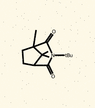 CC(C)(C)N1C(=O)C2CCC(C)(C1=O)C2(C)C